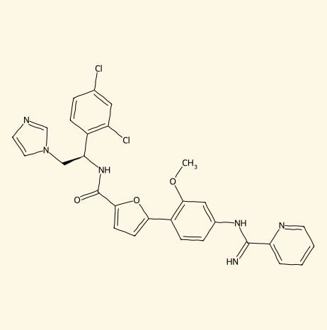 COc1cc(NC(=N)c2ccccn2)ccc1-c1ccc(C(=O)N[C@@H](Cn2ccnc2)c2ccc(Cl)cc2Cl)o1